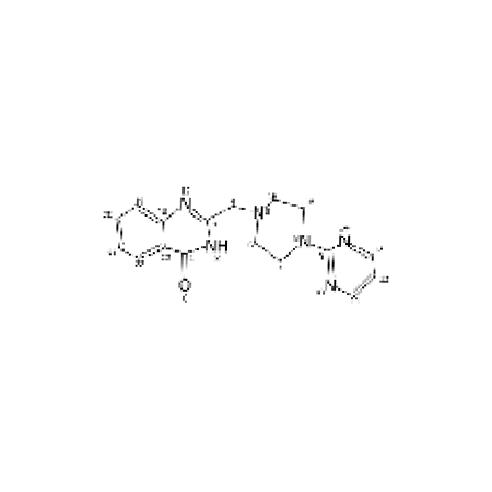 O=c1[nH]c(CN2CCN(c3ncccn3)CC2)nc2ccccc12